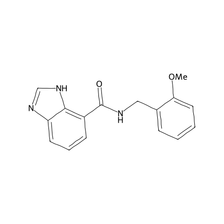 COc1ccccc1CNC(=O)c1cccc2nc[nH]c12